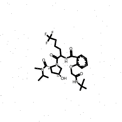 CC(C)N(C)C(=O)[C@H]1C[C@H](O)CN1C(=O)C(CCCC(F)(F)F)NC(=O)c1ccccc1OCC(=O)NC(C)(C)C